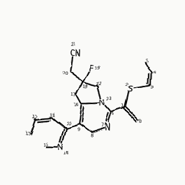 C=C(S/C=C\C)C1=NCC(C(/C=C\C)=N/C)=C2CC(F)(CC#N)CN12